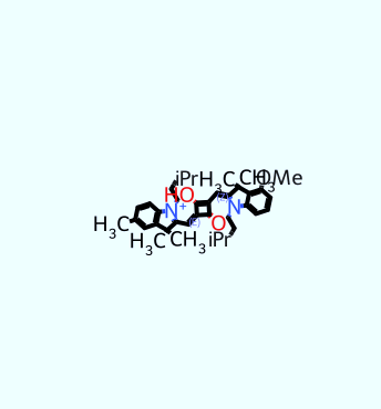 COc1cccc2c1C(C)(C)/C(=C/C1=C(O)C(=C\C3=[N+](CCC(C)C)c4ccc(C)cc4C3(C)C)/C1=O)N2CCC(C)C